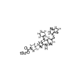 CC(C)(C)OC(=O)N1CCC(c2csc(Nc3ncc(Sc4ccnc5ccsc45)cc3Sc3ccccc3)n2)CC1